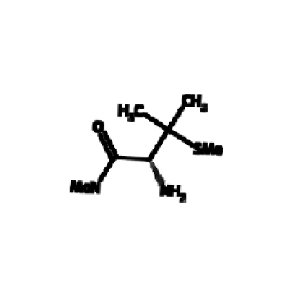 CNC(=O)[C@@H](N)C(C)(C)SC